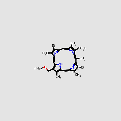 CCCCCCOCc1c(C)c2cc3nc(c(C)c4[nH]c(cc5nc(cc1[nH]2)C(C)=C5CC)c(C)c4C(=O)O)[C@@H](CC)[C@@H]3C